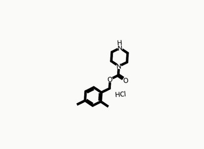 Cc1ccc(COC(=O)N2CCNCC2)c(C)c1.Cl